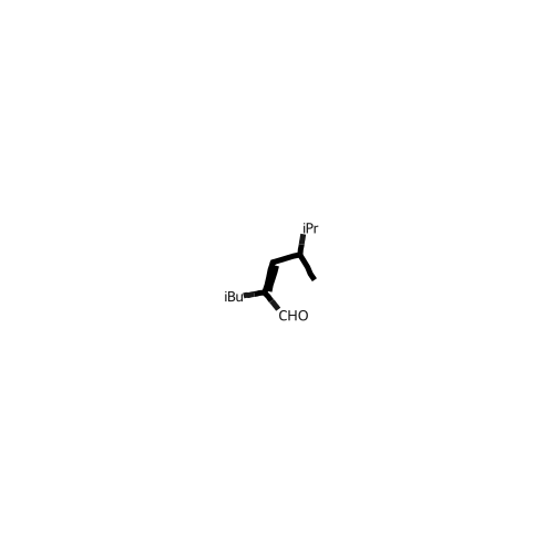 CCC(C)C(C=O)=CC(C)C(C)C